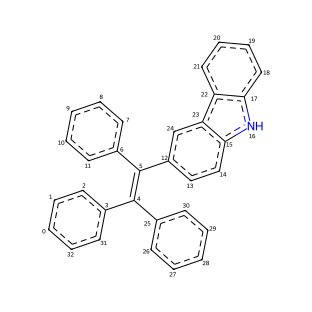 c1ccc(C(=C(c2ccccc2)c2ccc3[nH]c4ccccc4c3c2)c2ccccc2)cc1